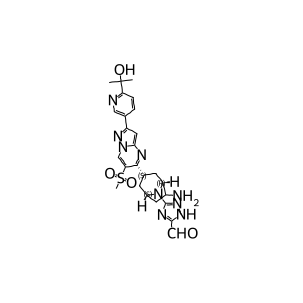 CC(C)(O)c1ccc(-c2cc3nc([C@H]4C[C@H]5CC(N)[C@@H](C4)N5c4n[nH]c(C=O)n4)c(S(C)(=O)=O)cn3n2)cn1